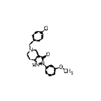 COc1cccc(-n2[nH]c3c(c2=O)CN(Cc2ccc(Cl)cc2)CC3)c1